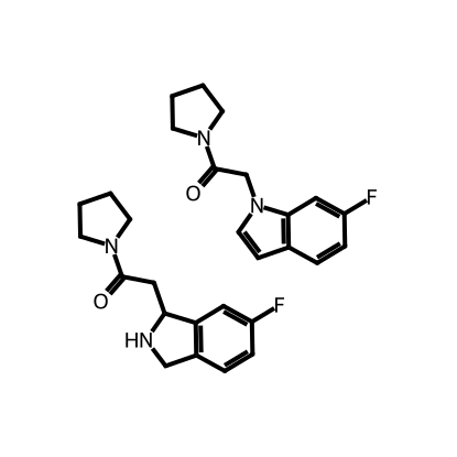 O=C(CC1NCc2ccc(F)cc21)N1CCCC1.O=C(Cn1ccc2ccc(F)cc21)N1CCCC1